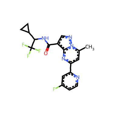 Cc1cc(-c2cc(F)ccn2)nc2c(C(=O)NC(C3CC3)C(F)(F)F)cnn12